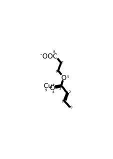 CC=CC(=O)OCCC(=O)[O-].[Cu+]